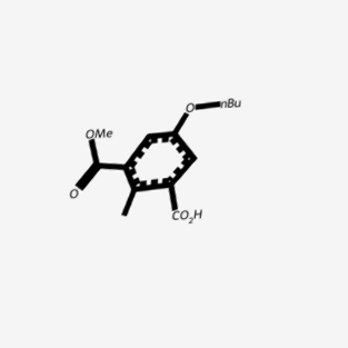 CCCCOc1cc(C(=O)O)c(C)c(C(=O)OC)c1